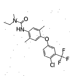 CCN(C)C(=O)Nc1cc(C)c(Oc2ccc(Cl)c(C(F)(F)F)c2)cc1C